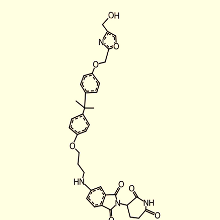 CC(C)(c1ccc(OCCCNc2ccc3c(c2)C(=O)N(C2CCC(=O)NC2=O)C3=O)cc1)c1ccc(OCc2nc(CO)co2)cc1